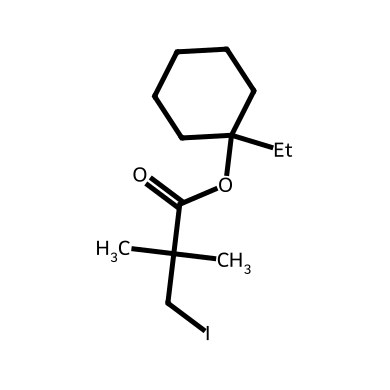 CCC1(OC(=O)C(C)(C)CI)CCCCC1